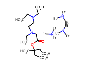 CCN(CC)CC.CCN(CC)CC.CCN(CC)CC.O=C(O)CN(CCN(CC(=O)O)CC(=O)OC(CC(=O)O)(CC(=O)O)C(=O)O)CC(=O)O